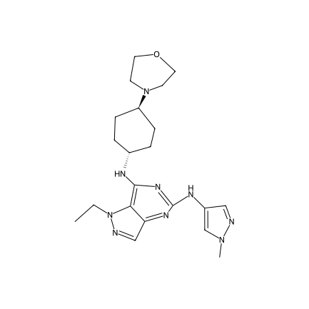 CCn1ncc2nc(Nc3cnn(C)c3)nc(N[C@H]3CC[C@H](N4CCOCC4)CC3)c21